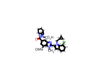 COc1cc(C(=O)N2CC3CCC2C3NC(=O)O)cc2nc(-c3cc4cccc(Br)c4n3CC3CC3)n(C)c12